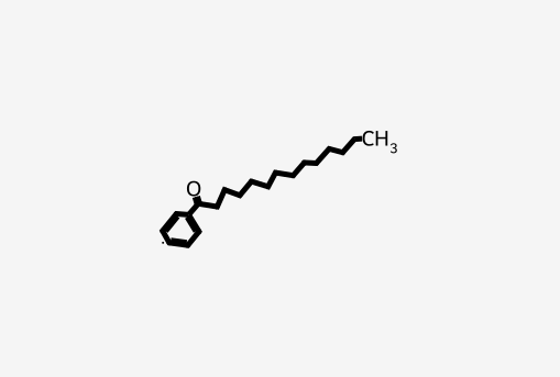 CCCCCCCCCCCCCC(=O)c1cc[c]cc1